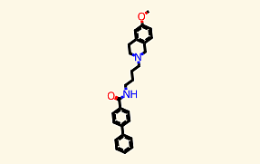 COc1ccc2c(c1)CCN(CCCCNC(=O)c1ccc(-c3ccccc3)cc1)C2